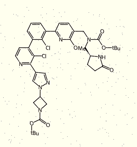 COc1nc(-c2cccc(-c3ccnc(-c4cnn(C5CN(C(=O)OC(C)(C)C)C5)c4)c3Cl)c2Cl)ccc1CN(C[C@@H]1CCC(=O)N1)C(=O)OC(C)(C)C